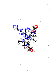 CCCCN(c1nc(C(CCN)NCCNCCCN)nc(N(CCCC)C2CC(C)(C)N(OCC(C)(C)O)C(C)(C)C2)n1)C1CC(C)(C)N(OCC(C)(C)O)C(C)(C)C1